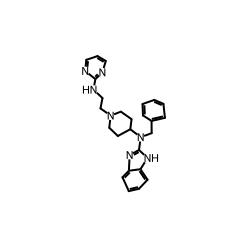 c1ccc(CN(c2nc3ccccc3[nH]2)C2CCN(CCNc3ncccn3)CC2)cc1